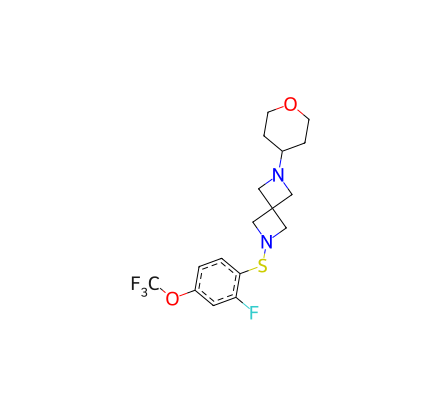 Fc1cc(OC(F)(F)F)ccc1SN1CC2(C1)CN(C1CCOCC1)C2